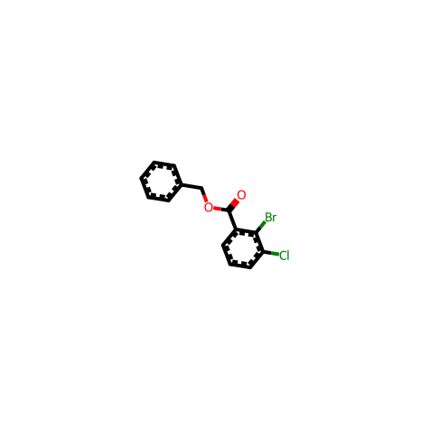 O=C(OCc1ccccc1)c1cccc(Cl)c1Br